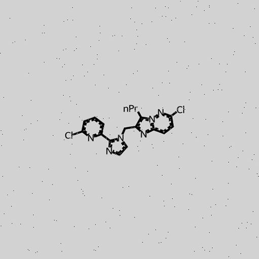 CCCc1c(Cn2ccnc2-c2cccc(Cl)n2)nc2ccc(Cl)nn12